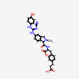 CN1Cc2cc(NC(=NC#N)Nc3ccc(O)cc3)ccc2C1C(=O)NC(Cc1ccc(CCC(=O)O)cc1)C(=O)O